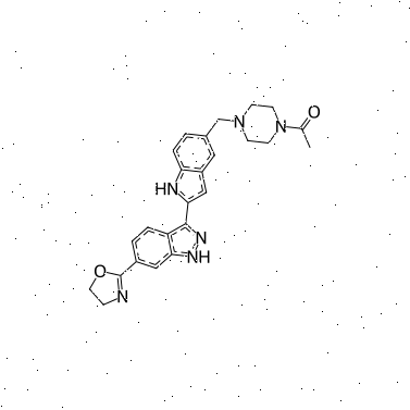 CC(=O)N1CCN(Cc2ccc3[nH]c(-c4n[nH]c5cc(C6=NCCO6)ccc45)cc3c2)CC1